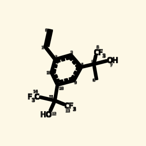 C=Cc1cc(C(C)(O)C(F)(F)F)cc(C(O)(C(F)(F)F)C(F)(F)F)c1